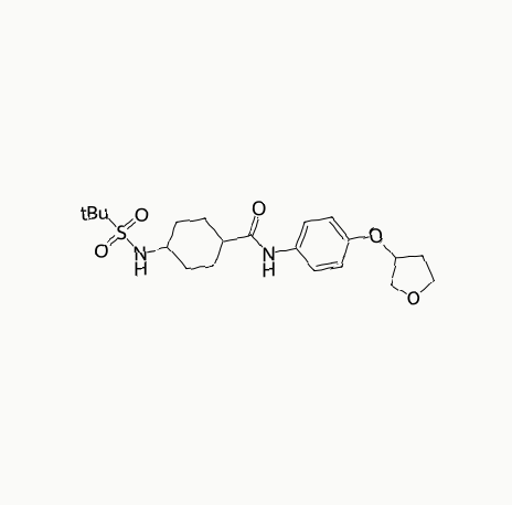 CC(C)(C)S(=O)(=O)NC1CCC(C(=O)Nc2ccc(OC3CCOC3)cc2)CC1